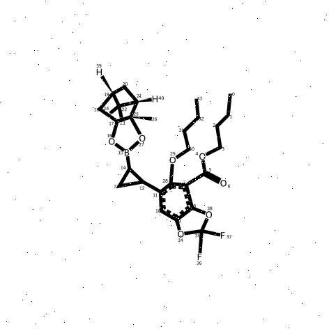 CCCCOC(=O)c1c2c(cc(C3CC3B3OC4C[C@@H]5C[C@@H](C5(C)C)[C@]4(C)O3)c1OCCCC)OC(F)(F)O2